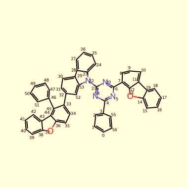 c1ccc(-c2nc(-c3cccc4c3oc3ccccc34)nc(-n3c4ccccc4c4ccc(-c5ccc6oc7ccccc7c6c5-c5ccccc5)cc43)n2)cc1